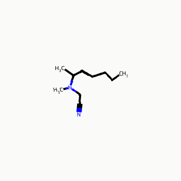 CCCCCC(C)N(C)CC#N